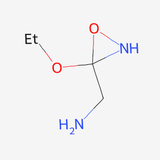 CCOC1(CN)NO1